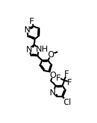 COc1cc(OCc2ncc(Cl)cc2C(F)(F)F)ccc1-c1cnc(-c2ccc(F)nc2)[nH]1